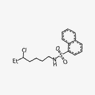 CCC(Cl)CCCCNS(=O)(=O)c1cccc2ccccc12